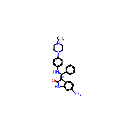 CN1CCN(c2ccc(N/C(=C3\C(=O)Nc4cc(N)ccc43)c3ccccc3)cc2)CC1